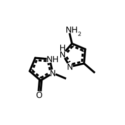 Cc1cc(N)[nH]n1.Cn1[nH]ccc1=O